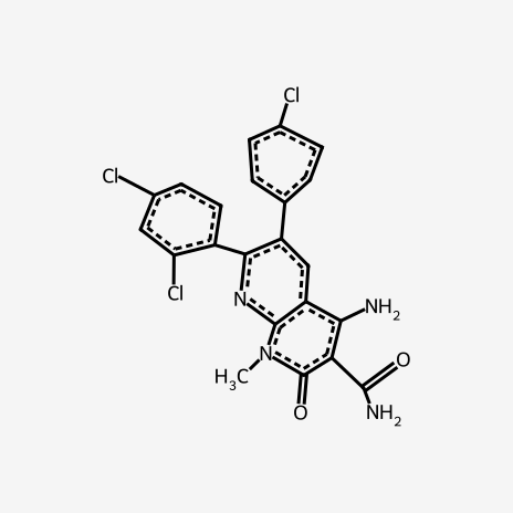 Cn1c(=O)c(C(N)=O)c(N)c2cc(-c3ccc(Cl)cc3)c(-c3ccc(Cl)cc3Cl)nc21